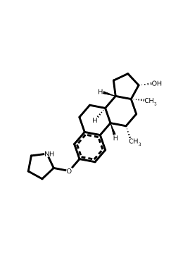 C[C@H]1C[C@]2(C)[C@@H](O)CC[C@H]2[C@@H]2CCc3cc(OC4CCCN4)ccc3[C@H]21